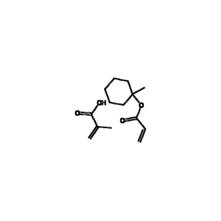 C=C(C)C(=O)O.C=CC(=O)OC1(C)CCCCC1